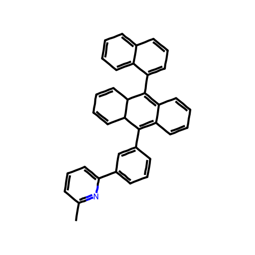 Cc1cccc(-c2cccc(C3=c4ccccc4=C(c4cccc5ccccc45)C4C=CC=CC34)c2)n1